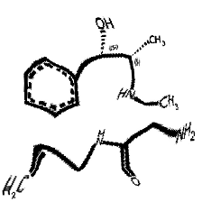 C=CCNC(=O)CN.CN[C@@H](C)[C@@H](O)c1ccccc1